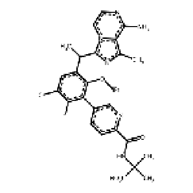 Cc1nc(C(C)c2cc(Cl)c(F)c(-c3ccc(C(=O)NC(C)(C)C(=O)O)nc3)c2OC(C)C)n2ccnc(N)c12